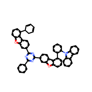 C1=CCC(c2cccc3oc4cc(-c5nc(-c6ccccc6)nc(-c6ccc7c(c6)oc6cccc(-c8ccccc8-n8c9ccccc9c9ccccc98)c67)n5)ccc4c23)C=C1